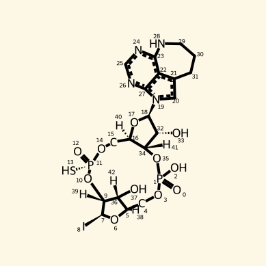 O=P1(O)OC[C@H]2O[C@@H](I)[C@H](O[P@](=O)(S)OC[C@H]3O[C@@H](n4cc5c6c(ncnc64)NCCC5)[C@H](O)[C@@H]3O1)[C@@H]2O